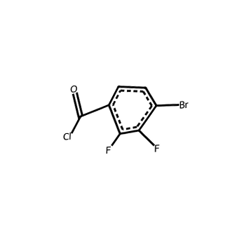 O=C(Cl)c1ccc(Br)c(F)c1F